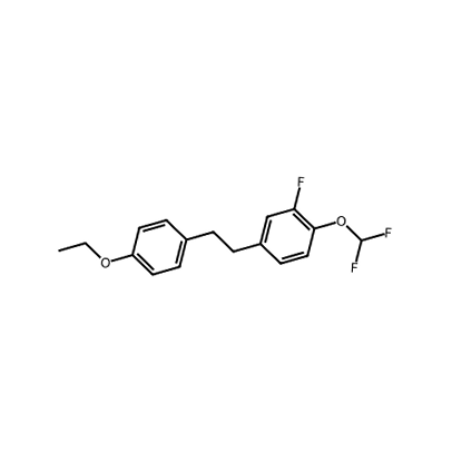 CCOc1ccc(CCc2ccc(OC(F)F)c(F)c2)cc1